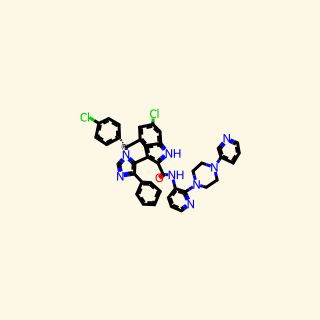 O=C(Nc1cccnc1N1CCN(c2cccnc2)CC1)c1[nH]c2cc(Cl)cc3c2c1-c1c(-c2ccccc2)ncn1[C@@H]3c1ccc(Cl)cc1